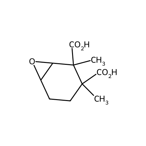 CC1(C(=O)O)CCC2OC2C1(C)C(=O)O